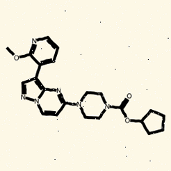 COc1ncccc1-c1cnn2ccc(N3CCN(C(=O)OC4CCCC4)CC3)nc12